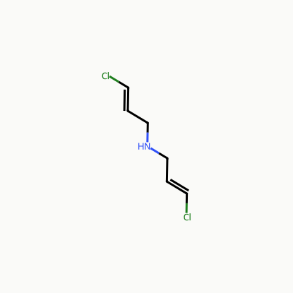 Cl/C=C/CNC/C=C/Cl